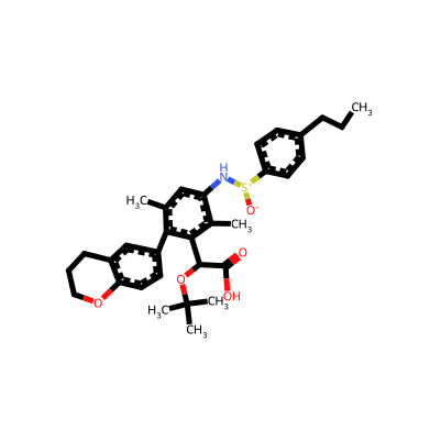 CCCc1ccc([S+]([O-])Nc2cc(C)c(-c3ccc4c(c3)CCCO4)c(C(OC(C)(C)C)C(=O)O)c2C)cc1